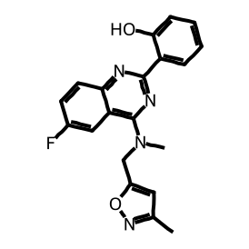 Cc1cc(CN(C)c2nc(-c3ccccc3O)nc3ccc(F)cc23)on1